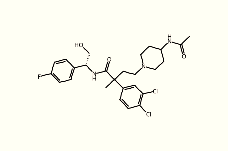 CC(=O)NC1CCN(CCC(C)(C(=O)N[C@@H](CO)c2ccc(F)cc2)c2ccc(Cl)c(Cl)c2)CC1